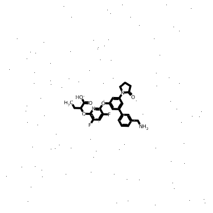 CCC(Oc1nc(Oc2cc(-c3cccc(CN)c3)cc(N3CCCC3=O)c2)c(F)cc1F)C(=O)O